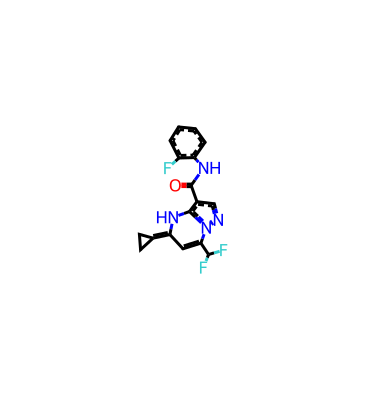 O=C(Nc1ccccc1F)c1cnn2c1NC(=C1CC1)C=C2C(F)F